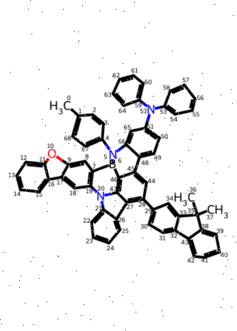 Cc1ccc(N2B3c4cc5oc6ccccc6c5cc4-n4c5ccccc5c5c(-c6ccc7c(c6)C(C)(C)c6ccccc6-7)cc(c3c54)-c3ccc(N(c4ccccc4)c4ccccc4)cc32)cc1